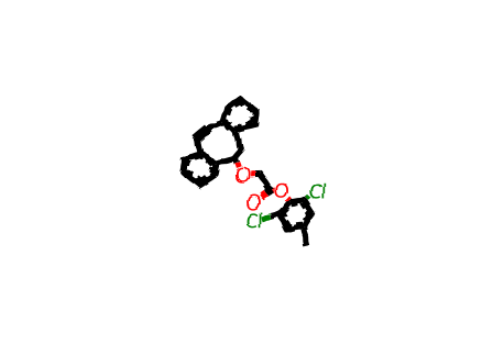 Cc1cc(Cl)c(OC(=O)COC2Cc3ccccc3C#Cc3ccccc32)c(Cl)c1